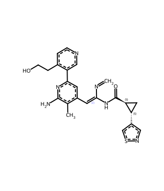 C=N/C(=C\c1cc(-c2cnccc2CCO)nc(N)c1C)NC(=O)[C@H]1C[C@@H]1c1cnsc1